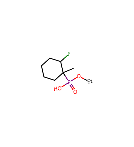 CCOP(=O)(O)C1(C)CCCCC1F